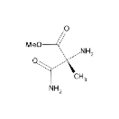 COC(=O)[C@](C)(N)C(N)=O